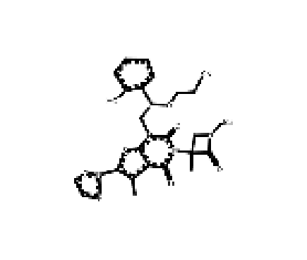 CCC(C)N1CC(C)(n2c(=O)c3c(C)c(-n4nccn4)sc3n(C[C@H](OCCC#N)c3ccccc3O)c2=O)C1=O